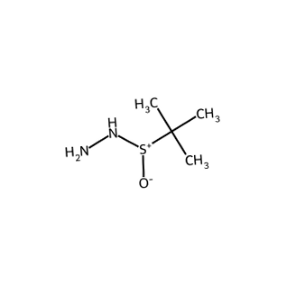 CC(C)(C)[S+]([O-])NN